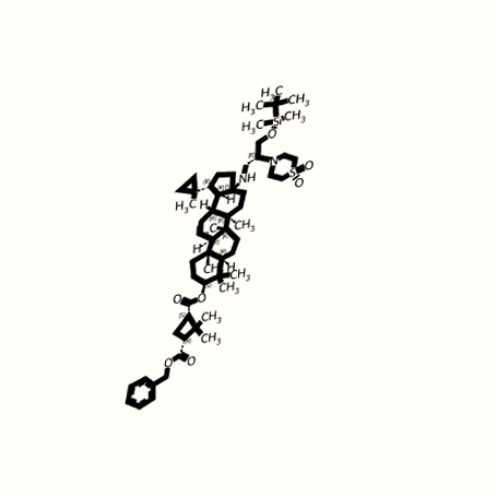 CC1([C@@H]2CC[C@]3(NC[C@H](CO[Si](C)(C)C(C)(C)C)N4CCS(=O)(=O)CC4)CC[C@]4(C)[C@H](CC[C@@H]5[C@@]6(C)CC[C@H](OC(=O)[C@H]7C[C@@H](C(=O)OCc8ccccc8)C7(C)C)C(C)(C)[C@@H]6CC[C@]54C)[C@@H]23)CC1